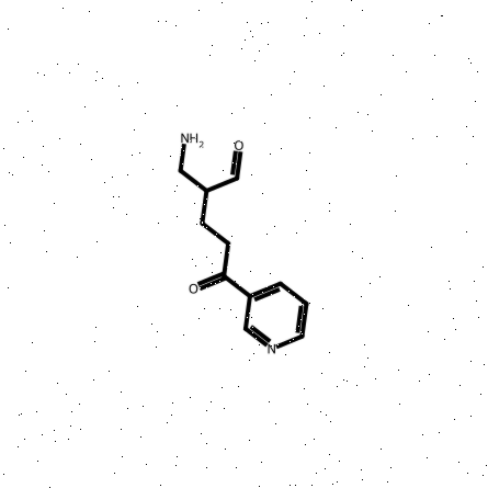 NCC(C=O)CCC(=O)c1cccnc1